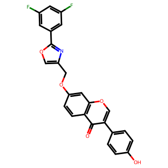 O=c1c(-c2ccc(O)cc2)coc2cc(OCc3coc(-c4cc(F)cc(F)c4)n3)ccc12